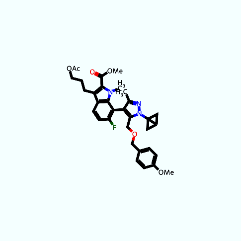 COC(=O)c1c(CCCOC(C)=O)c2ccc(F)c(-c3c(C)nn(C45CC4C5)c3COCc3ccc(OC)cc3)c2n1C